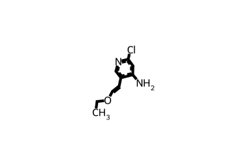 CCOC=Cc1cnc(Cl)cc1N